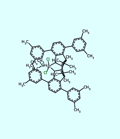 Cc1cc(C)cc(-c2ccc(-c3cc(C)cc(C)c3)c3c2C=C(C(C)(C)C)[CH]3[Zr]([Cl])([Cl])([CH]2C(C(C)(C)C)=Cc3c(-c4cc(C)cc(C)c4)ccc(-c4cc(C)cc(C)c4)c32)[SiH](C)C)c1